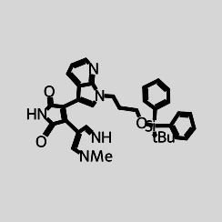 CN/C=C(\C=N)C1=C(c2cn(CCCO[Si](c3ccccc3)(c3ccccc3)C(C)(C)C)c3ncccc23)C(=O)NC1=O